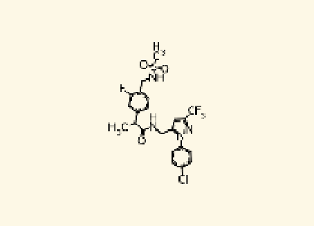 CC(C(=O)NCc1cc(C(F)(F)F)nn1-c1ccc(Cl)cc1)c1ccc(CNS(C)(=O)=O)c(F)c1